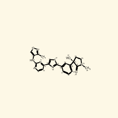 Cc1nocc1Nc1nccc(-c2csc(-c3cccc([C@]4(O)CCN(C)C4=O)c3)n2)n1